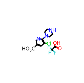 O=C(O)C(F)(F)F.O=C(O)c1cnc(N2CCNCC2)c(Cl)c1